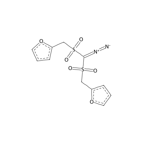 [N-]=[N+]=C(S(=O)(=O)Cc1ccco1)S(=O)(=O)Cc1ccco1